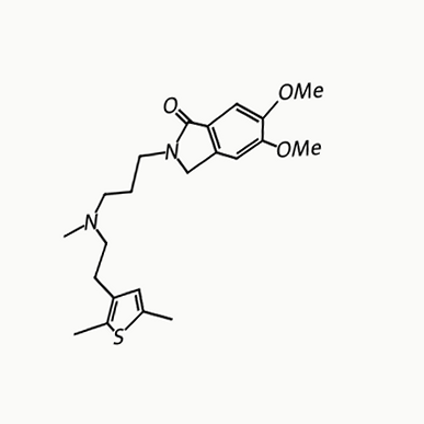 COc1cc2c(cc1OC)C(=O)N(CCCN(C)CCc1cc(C)sc1C)C2